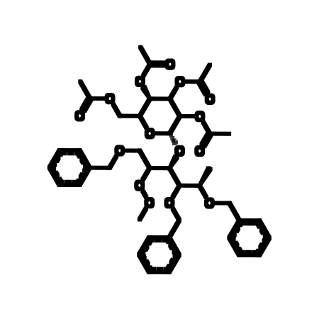 COOC(COCc1ccccc1)[C@@H](O[C@@H]1OC(COC(C)=O)[C@@H](OC(C)=O)C(OC(C)=O)C1OC(C)=O)C(OCc1ccccc1)[C@@H](C)OCc1ccccc1